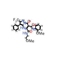 COCCNC(=O)c1[nH]c2c(-c3ccccc3)c(C(F)(F)F)nn2c(=O)c1-c1nc2c(OC)cccc2o1